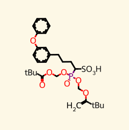 C=C(OCOP(=O)(OCOC(=O)C(C)(C)C)C(CCCc1cccc(Oc2ccccc2)c1)S(=O)(=O)O)C(C)(C)C